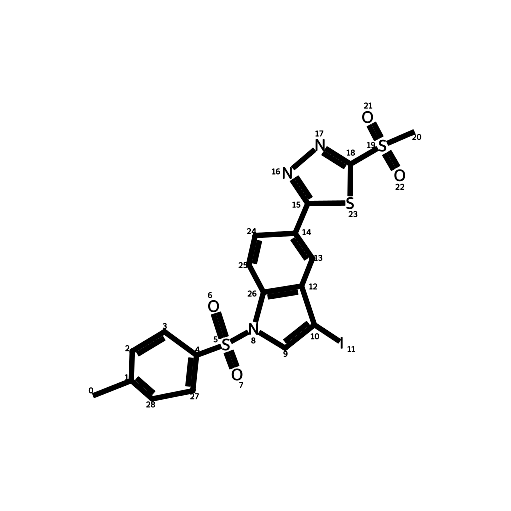 Cc1ccc(S(=O)(=O)n2cc(I)c3cc(-c4nnc(S(C)(=O)=O)s4)ccc32)cc1